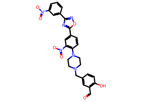 O=Cc1cc(CN2CCN(c3ccc(-c4nc(-c5cccc([N+](=O)[O-])c5)no4)cc3[N+](=O)[O-])CC2)ccc1O